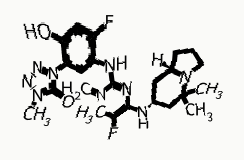 C=N/C(=N\C(N[C@@H]1C[C@@H]2CCCN2C(C)(C)C1)=C(/C)F)Nc1cc(-n2nnn(C)c2=O)c(O)cc1F